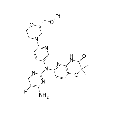 CCOC[C@@H]1CN(c2ccc(N(c3ccc4c(n3)NC(=O)C(C)(C)O4)c3ncc(F)c(N)n3)cn2)CCO1